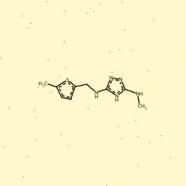 CNc1nnc(NCc2ccc(C)s2)[nH]1